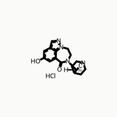 Cl.O=C1c2cc(O)cc3cnn(c23)CCN1[C@@H]1CN2CCC1CC2